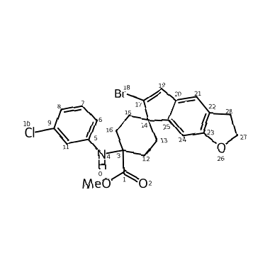 COC(=O)C1(Nc2cccc(Cl)c2)CCC2(CC1)C(Br)=Cc1cc3c(cc12)OCC3